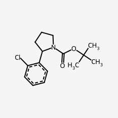 CC(C)(C)OC(=O)N1CCCC1c1ccccc1Cl